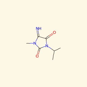 CC(C)N1C(=O)C(=N)N(C)C1=O